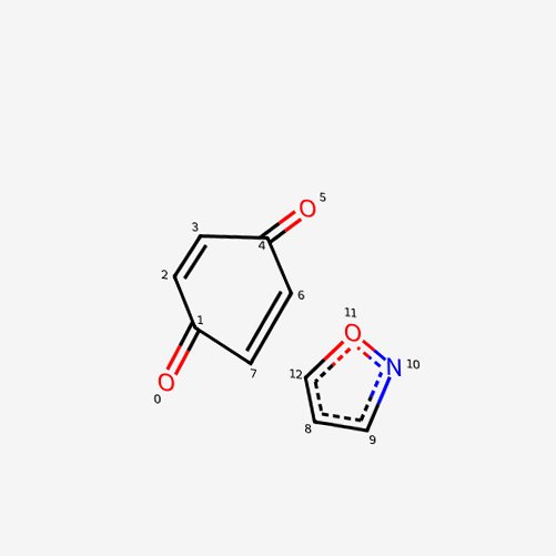 O=C1C=CC(=O)C=C1.c1cnoc1